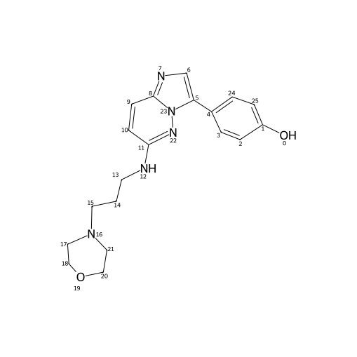 Oc1ccc(-c2cnc3ccc(NCCCN4CCOCC4)nn23)cc1